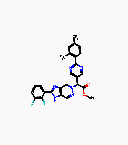 CCCOC(=O)C(c1cnc(-c2ccc(C(F)(F)F)cc2C(F)(F)F)nc1)N1Cc2nc(-c3cccc(F)c3F)[nH]c2C=N1